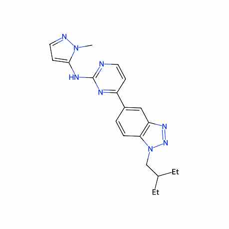 CCC(CC)Cn1nnc2cc(-c3ccnc(Nc4ccnn4C)n3)ccc21